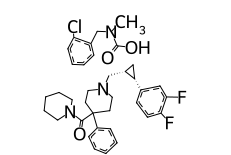 CN(Cc1ccccc1Cl)C(=O)O.O=C(N1CCCCC1)C1(c2ccccc2)CCN(C[C@@H]2C[C@@H]2c2ccc(F)c(F)c2)CC1